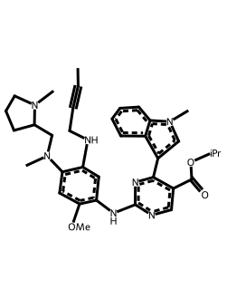 CC#CCNc1cc(Nc2ncc(C(=O)OC(C)C)c(-c3cn(C)c4ccccc34)n2)c(OC)cc1N(C)CC1CCCN1C